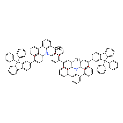 Cc1cc(-c2ccc(N(c3ccc(-c4ccc5c(c4)C(c4ccccc4)(c4ccccc4)c4ccccc4-5)cc3)c3c(-c4ccccc4)cccc3-c3ccccc3)c(C)c2)ccc1N(c1ccc(-c2ccc3c(c2)C(c2ccccc2)(c2ccccc2)c2ccccc2-3)cc1)c1c(-c2ccccc2)cccc1-c1ccccc1